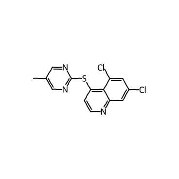 Cc1cnc(Sc2ccnc3cc(Cl)cc(Cl)c23)nc1